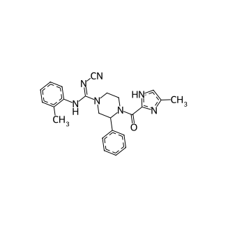 Cc1c[nH]c(C(=O)N2CCN(/C(=N\C#N)Nc3ccccc3C)CC2c2ccccc2)n1